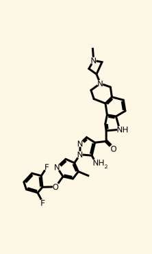 Cc1cc(Oc2c(F)cccc2F)ncc1-n1ncc(C(=O)c2cc3c4c(ccc3[nH]2)CN(C2CN(C)C2)CC4)c1N